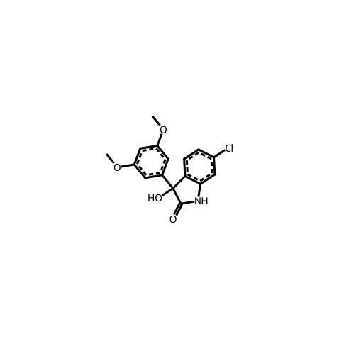 COc1cc(OC)cc(C2(O)C(=O)Nc3cc(Cl)ccc32)c1